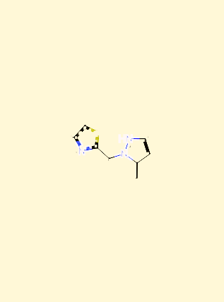 CC1C=CNN1Cc1nccs1